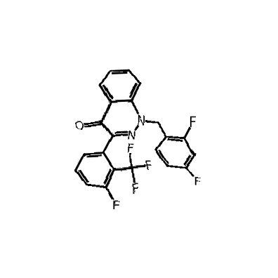 O=c1c(-c2cccc(F)c2C(F)(F)F)nn(Cc2ccc(F)cc2F)c2ccccc12